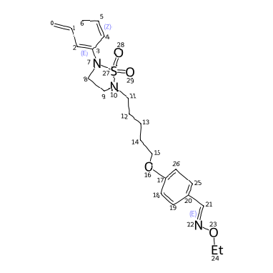 C=C/C=C(\C=C/C)N1CCN(CCCCCOc2ccc(/C=N/OCC)cc2)S1(=O)=O